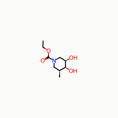 CCOC(=O)N1C[C@@H](O)[C@@H](O)[C@@H](C)C1